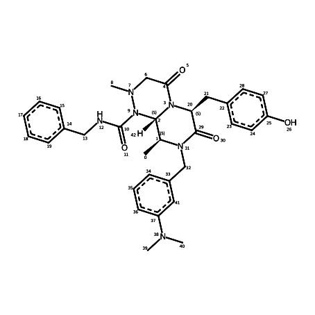 C[C@H]1[C@H]2N(C(=O)CN(C)N2C(=O)NCc2ccccc2)[C@@H](Cc2ccc(O)cc2)C(=O)N1Cc1cccc(N(C)C)c1